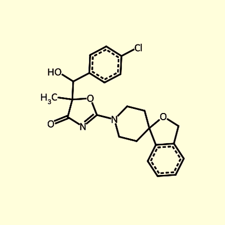 CC1(C(O)c2ccc(Cl)cc2)OC(N2CCC3(CC2)OCc2ccccc23)=NC1=O